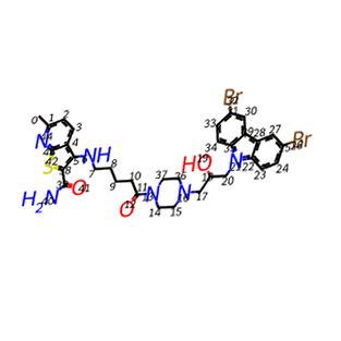 Cc1ccc2c(NCCCCC(=O)N3CCN(CC(O)Cn4c5ccc(Br)cc5c5cc(Br)ccc54)CC3)c(C(N)=O)sc2n1